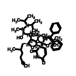 C#CCCC(C)C[C@H]1O[C@@H]([N+]2([Si](OC(c3ccccc3)c3ccccc3)(O[Si](C)(C)C)O[Si](C)(C)C)C=CC(=O)NC2=O)C[C@@H]1OP(O)N(C)N(C(C)C)C(C)C